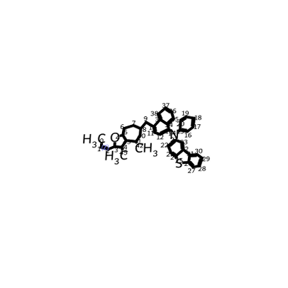 C/C=C\C1OC2CCC(Cc3ccc(N(c4ccccc4)c4ccc5sc6ccccc6c5c4)c4ccccc34)CC(C)C2C1C